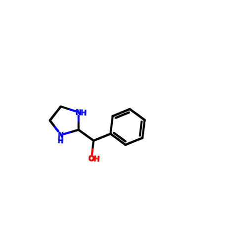 OC(c1ccccc1)C1NCCN1